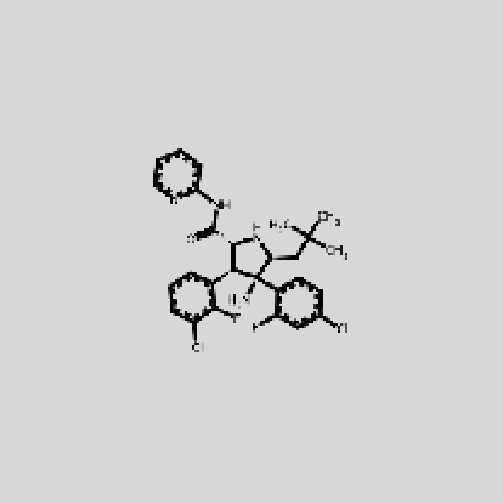 CC(C)(C)C[C@@H]1N[C@@H](C(=O)Nc2ccccn2)[C@H](c2cccc(Cl)c2F)[C@@]1(N)c1ccc(Cl)cc1F